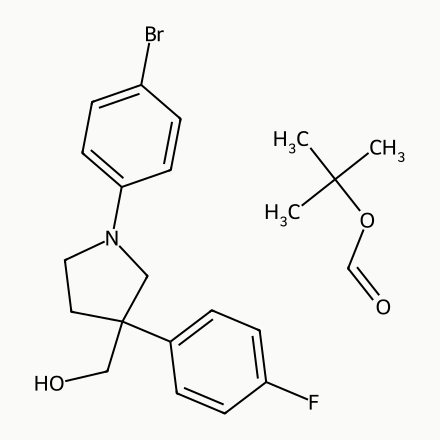 CC(C)(C)OC=O.OCC1(c2ccc(F)cc2)CCN(c2ccc(Br)cc2)C1